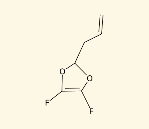 C=CCC1OC(F)=C(F)O1